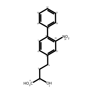 O=C(O)C(O)CCc1ccc(-c2ccccc2)c([N+](=O)[O-])c1